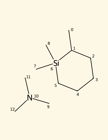 CC1CCCC[Si]1(C)C.CN(C)C